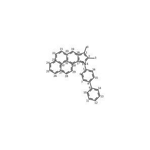 Cc1c(C)n(-c2ccc(-c3ccccc3)cc2)c2c1cc1ccc3cccc4ccc2c1c34